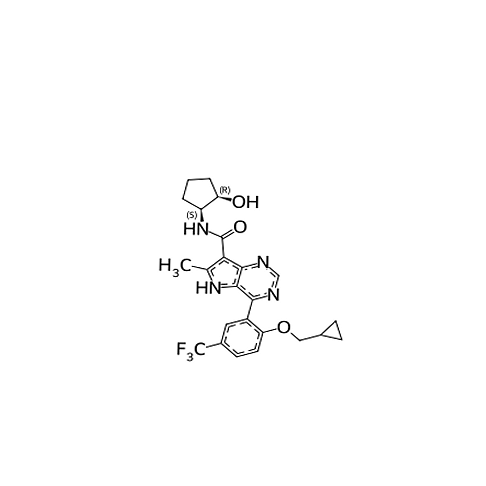 Cc1[nH]c2c(-c3cc(C(F)(F)F)ccc3OCC3CC3)ncnc2c1C(=O)N[C@H]1CCC[C@H]1O